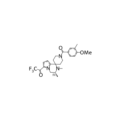 COc1ccc(C(=O)N2CCC3(CC2)c2ccc(C(=O)C(F)(F)F)n2C[C@H](C)N3C)cc1C